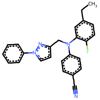 CCc1ccc(F)c(N(Cc2ccn(-c3ccccc3)n2)c2ccc(C#N)cc2)c1